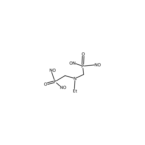 CCN(CP(=O)(N=O)N=O)CP(=O)(N=O)N=O